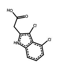 O=C(O)Cc1[nH]c2cccc(Cl)c2c1Cl